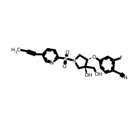 CC#Cc1ccc(S(=O)(=O)N2C[C@H](Oc3ccc(C#N)c(F)c3)[C@](O)(CO)C2)nc1